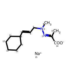 CC(=NN(C)CC=CC1CCCCC1)C(=O)[O-].[Na+]